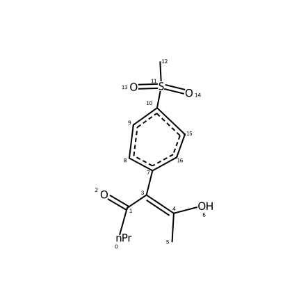 CCCC(=O)C(=C(C)O)c1ccc(S(C)(=O)=O)cc1